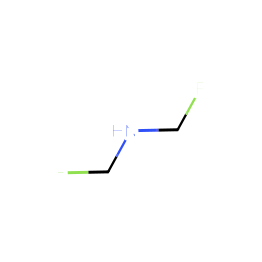 FCNCF